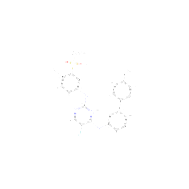 CNS(=O)(=O)c1cc(Nc2ncc(F)c(Nc3cccc(-c4ccc(C#N)cc4)c3)n2)ccc1C